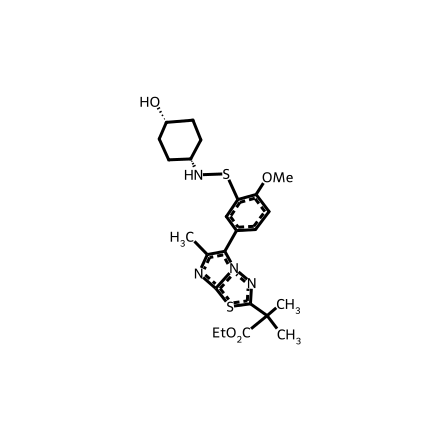 CCOC(=O)C(C)(C)c1nn2c(-c3ccc(OC)c(SN[C@H]4CC[C@@H](O)CC4)c3)c(C)nc2s1